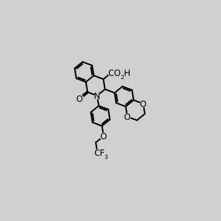 O=C(O)C1c2ccccc2C(=O)N(c2ccc(OCC(F)(F)F)cc2)C1c1ccc2c(c1)OCCO2